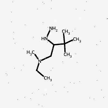 CCN(C)CC(NN)C(C)(C)C